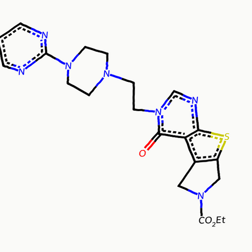 CCOC(=O)N1Cc2sc3ncn(CCN4CCN(c5ncccn5)CC4)c(=O)c3c2C1